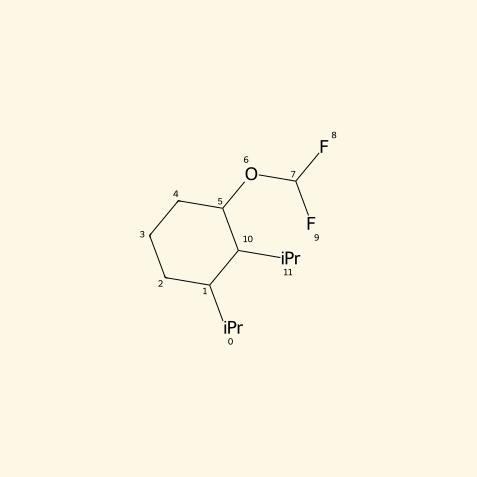 CC(C)C1CCCC(OC(F)F)C1C(C)C